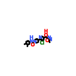 Cc1nnc(C(O)c2cnc(C3=CCN(C(=O)Nc4ccc(C)c(C)c4)CC3)c(Cl)c2)o1